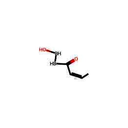 C/C=C\C(=O)BBO